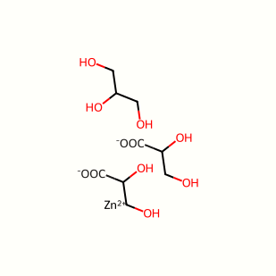 O=C([O-])C(O)CO.O=C([O-])C(O)CO.OCC(O)CO.[Zn+2]